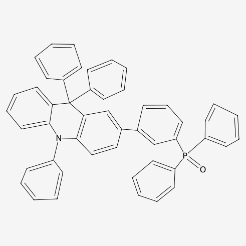 O=P(c1ccccc1)(c1ccccc1)c1cccc(-c2ccc3c(c2)C(c2ccccc2)(c2ccccc2)c2ccccc2N3c2ccccc2)c1